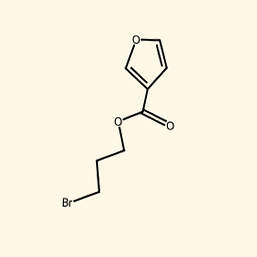 O=C(OCCCBr)c1ccoc1